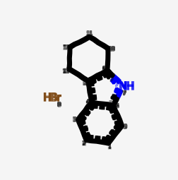 Br.c1ccc2c3c([nH]c2c1)CCCC3